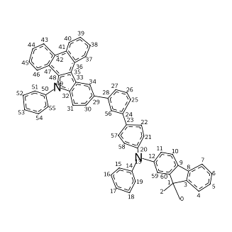 CC1(C)c2ccccc2-c2ccc(N(c3ccccc3)c3ccc(-c4cccc(-c5ccc6c(c5)c5c7ccccc7c7ccccc7c5n6-c5ccccc5)c4)cc3)cc21